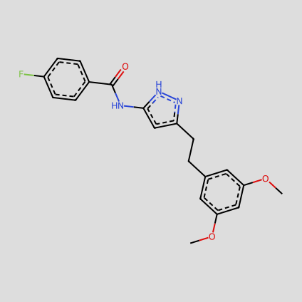 COc1cc(CCc2cc(NC(=O)c3ccc(F)cc3)[nH]n2)cc(OC)c1